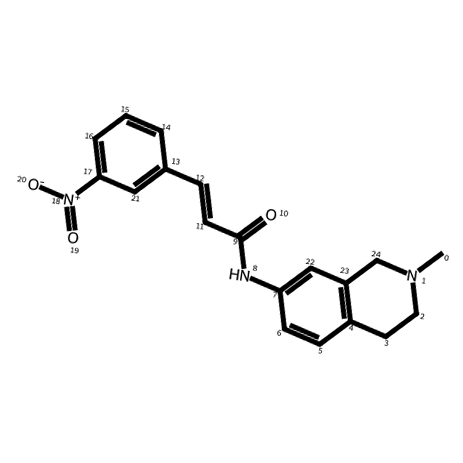 CN1CCc2ccc(NC(=O)/C=C/c3cccc([N+](=O)[O-])c3)cc2C1